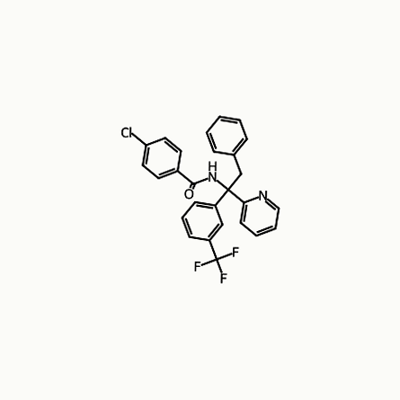 O=C(NC(Cc1ccccc1)(c1cccc(C(F)(F)F)c1)c1ccccn1)c1ccc(Cl)cc1